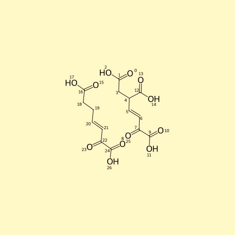 O=C(O)CC(C=CC(=O)C(=O)O)C(=O)O.O=C(O)CCC=CC(=O)C(=O)O